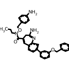 CCCN(OCc1ccc(N)cc1)C(=O)C1=Cc2ccc(-c3cccc(OCc4ccccc4)c3)cc2N=C(N)C1